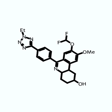 CCn1nnc(-c2ccc(C3=NC4CCC(O)CC4c4cc(OC)c(OC(F)F)cc43)cc2)n1